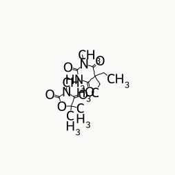 CCC1(CC)C(=O)NC(=O)N(C)C1=O.CN1C(=O)OC(C)(C)C1=O